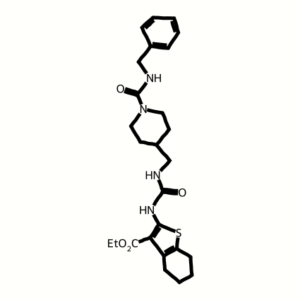 CCOC(=O)c1c(NC(=O)NCC2CCN(C(=O)NCc3ccccc3)CC2)sc2c1CCCC2